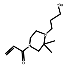 C=CC(=O)N1CCN(CCCC(C)(C)C)C(C)(C)C1